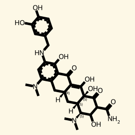 CN(C)c1cc(NCc2ccc(O)c(O)c2)c(O)c2c1C[C@H]1C[C@H]3[C@H](N(C)C)C(O)C(C(N)=O)C(=O)[C@@]3(O)C(O)=C1C2=O